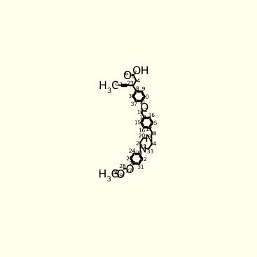 CC#CC(CC(=O)O)c1ccc(OCc2ccc(CN3CCN(c4ccc(OCOC)cc4)CC3)cc2)cc1